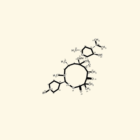 CO[C@]1(C)C[C@@H](C)CN(C)[C@H](C2CCN(C(C)C)CC2)COC(=O)C(C)(C)C(=O)[C@H](C)[C@H]1O[C@@H]1O[C@H](C)C[C@H](N(C)C)[C@H]1O